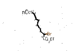 CCCCCCCCCCCCCCC(Br)C(=O)OCC